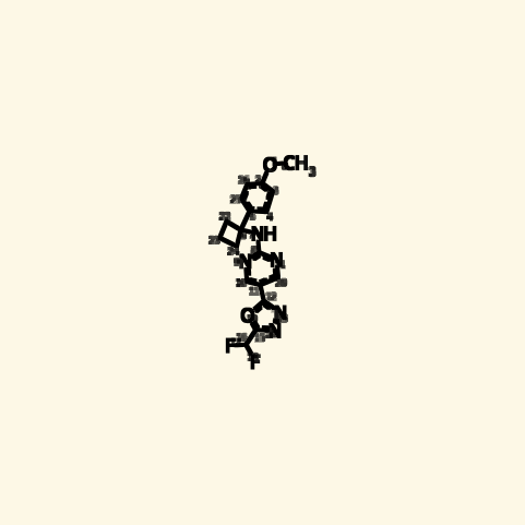 COc1ccc(C2(Nc3ncc(-c4nnc(C(F)F)o4)cn3)CCC2)cc1